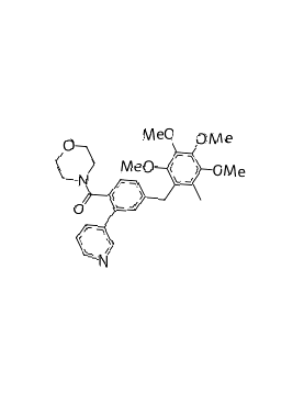 COc1c(C)c(Cc2ccc(C(=O)N3CCOCC3)c(-c3cccnc3)c2)c(OC)c(OC)c1OC